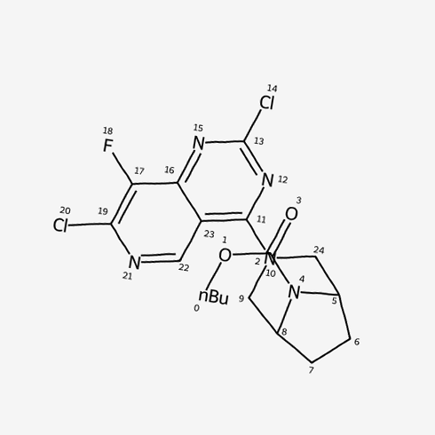 CCCCOC(=O)N1C2CCC1CN(c1nc(Cl)nc3c(F)c(Cl)ncc13)C2